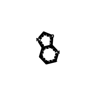 [c]1ccc2ncoc2n1